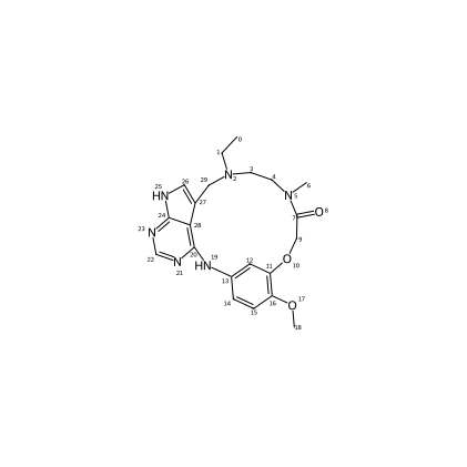 CCN1CCN(C)C(=O)COc2cc(ccc2OC)Nc2ncnc3[nH]cc(c23)C1